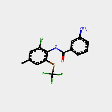 Cc1cc(Br)c(NC(=O)c2cccc(N)c2)c(SC(F)(F)F)c1